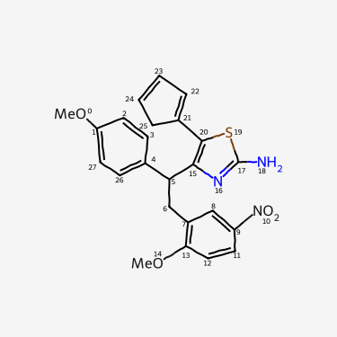 COc1ccc(C(Cc2cc([N+](=O)[O-])ccc2OC)c2nc(N)sc2C2=CC=CC2)cc1